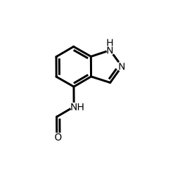 O=CNc1cccc2[nH]ncc12